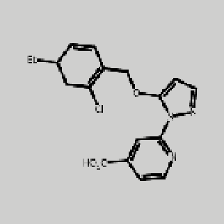 CCC1C=CC(COc2ccnn2-c2cc(C(=O)O)ccn2)=C(Cl)C1